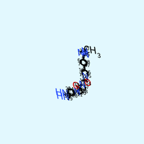 Cn1cnc(-c2ccc(C3=CCN(C(=O)CN4CC[C@]5(CCN(c6ccc7c(c6)CNN7)C5=O)C4)CC3)cc2)n1